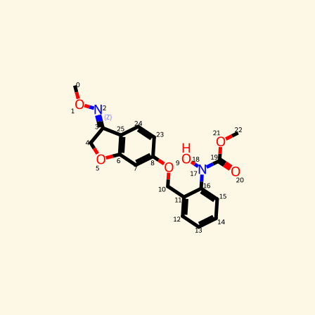 CO/N=C1\COc2cc(OCc3ccccc3N(O)C(=O)OC)ccc21